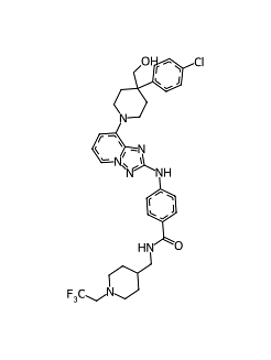 O=C(NCC1CCN(CC(F)(F)F)CC1)c1ccc(Nc2nc3c(N4CCC(CO)(c5ccc(Cl)cc5)CC4)cccn3n2)cc1